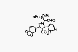 CCCCN(CCCC)C(C=O)N1CC(c2ccc3c(c2)OCO3)C(C(=O)O)C1c1ccncc1